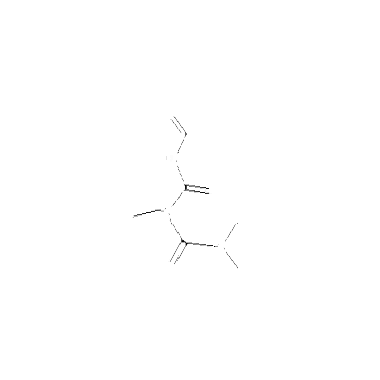 CN(C)C(=O)N(C)C(=O)NC=O